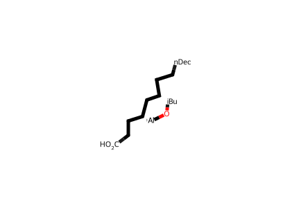 CCC(C)[O][Al].CCCCCCCCCCCCCCCCCC(=O)O